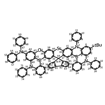 CC(C)(C)c1cc2c3c(c1)N(c1ccccc1)c1cc4c(cc1B3c1ccccc1N2c1ccccc1)C1(c2cc3c(cc2S4)Oc2cc(N(c4ccccc4)c4ccccc4)cc4c2B3c2ccccc2N4c2ccccc2)c2ccccc2-c2ccccc21